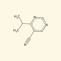 CC(C)c1n[c]ncc1C#N